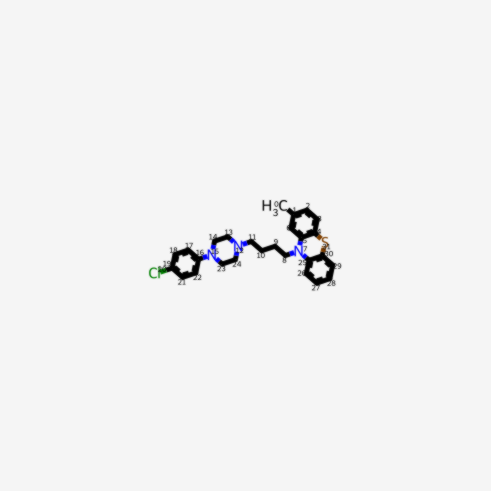 Cc1ccc2c(c1)N(CCCCN1CCN(c3ccc(Cl)cc3)CC1)c1ccccc1S2